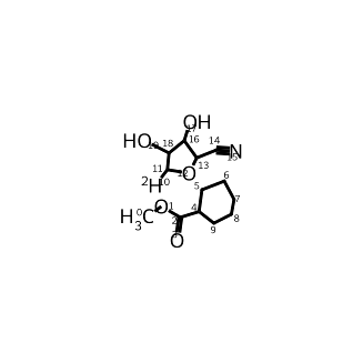 COC(=O)C1CCCCC1.[2H]C1OC(C#N)C(O)C1O